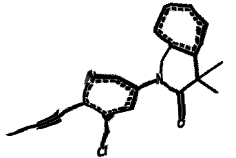 CC#Cc1ncc(N2C(=O)C(C)(C)c3ccccc32)cc1Cl